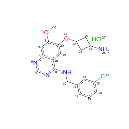 COc1cc2ncnc(NCc3cccc(Cl)c3)c2cc1OC1CC(N)C1.Cl